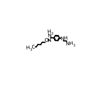 CCCCCCON=C(N)c1ccc(NCCN)cc1